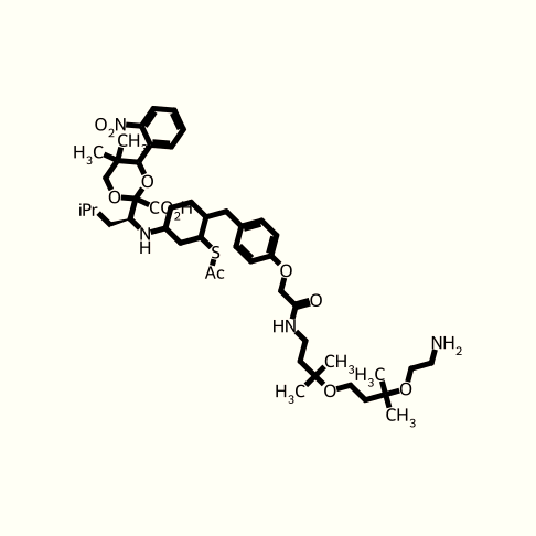 CC(=O)SC1CC(N[C@@H](CC(C)C)C2(C(=O)O)OCC(C)(C)C(c3ccccc3[N+](=O)[O-])O2)CCC1Cc1ccc(OCC(=O)NCCC(C)(C)OCCC(C)(C)OCCN)cc1